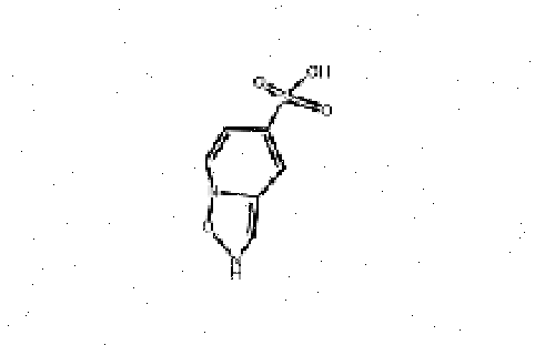 O=S(=O)(O)C1=CC2=CNON2C=C1